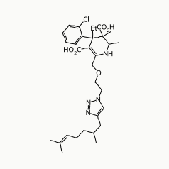 CCC1(c2ccccc2Cl)C(C(=O)O)=C(COCCn2cc(CC(C)CCC=C(C)C)nn2)NC(C)C1(C)C(=O)O